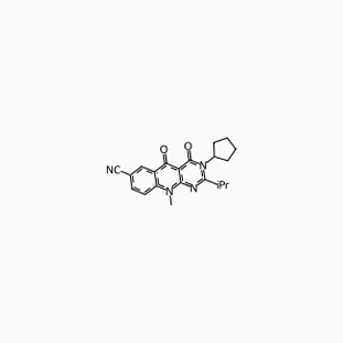 CC(C)c1nc2c(c(=O)c3cc(C#N)ccc3n2C)c(=O)n1C1CCCC1